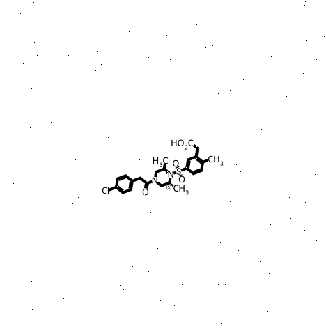 Cc1ccc(S(=O)(=O)N2C(C)CN(C(=O)Cc3ccc(Cl)cc3)C[C@@H]2C)cc1CC(=O)O